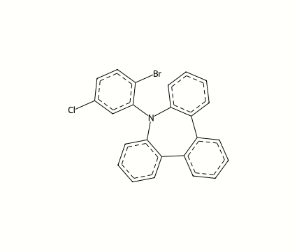 Clc1ccc(Br)c(N2c3ccccc3-c3ccccc3-c3ccccc32)c1